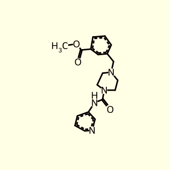 COC(=O)c1cccc(CN2CCN(C(=O)Nc3cccnc3)CC2)c1